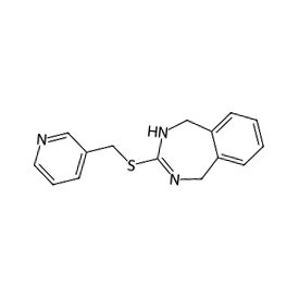 c1cncc(CSC2=NCc3ccccc3CN2)c1